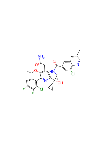 CCOc1c(CC(N)=O)cc([C@@](O)(CNC(=O)c2cc(Cl)c3ncc(C)cc3c2)C2CC2)nc1-c1ccc(F)c(F)c1Cl